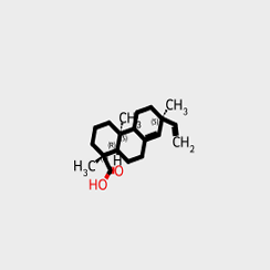 C=C[C@@]1(C)C=C2CC[C@H]3[C@](C)(C(=O)O)CCC[C@@]3(C)C2CC1